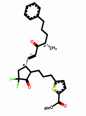 COC(=O)c1ccc(CCCC2C(=O)C(F)(F)C[C@@H]2/C=C/C(=O)[C@@H](C)CCCc2ccccc2)s1